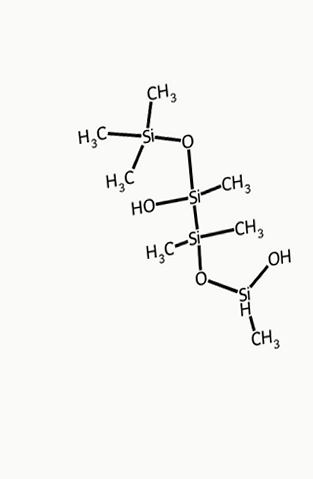 C[SiH](O)O[Si](C)(C)[Si](C)(O)O[Si](C)(C)C